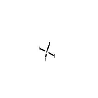 [I][Y]([I])([I])[I]